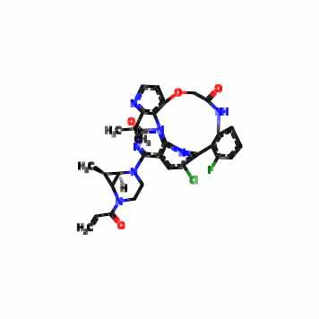 C=CC(=O)N1CCN(c2nc(=O)n3c4nc(c(Cl)cc24)-c2c(F)cccc2NC(=O)COc2ccnc(C(C)C)c2-3)[C@H]2C1[C@H]2C